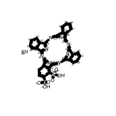 O=S(=O)(O)c1ccc2c3nc4nc(nc5[nH]c(nc6nc(nc([nH]3)c2c1S(=O)(=O)O)-c1ccccc1-6)c1ccccc51)-c1ccccc1-4.[KH]